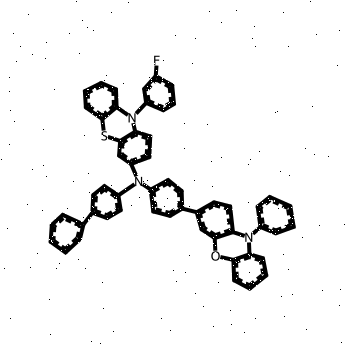 Fc1cccc(N2c3ccccc3Sc3cc(N(c4ccc(-c5ccccc5)cc4)c4ccc(-c5ccc6c(c5)Oc5ccccc5N6c5ccccc5)cc4)ccc32)c1